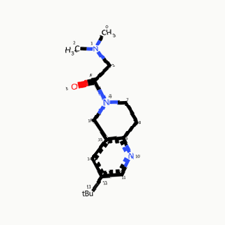 CN(C)CC(=O)N1CCc2ncc(C(C)(C)C)cc2C1